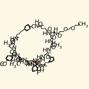 CCCOCCOCCC(=O)NC[C@@H]1NC(=O)CCC(=O)NCc2ccc(cc2)CCNC(=O)[C@]2(C)CCCN2C(=O)[C@H](Cc2ccc(OC)cc2)NC(=O)[C@H]([C@@H](C)O)NC(=O)[C@@H]2CCC(=O)NCc3cccc(c3)CC(NC(=O)[C@@H](C)NC1=O)C(=O)N[C@@H](Cc1c[nH]c3ccc(F)cc13)C(=O)N2C